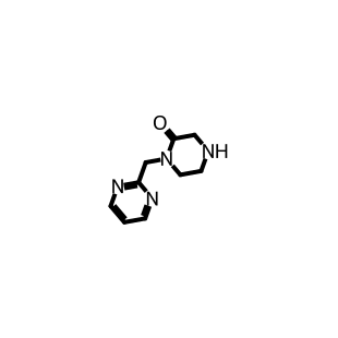 O=C1CNCCN1Cc1ncccn1